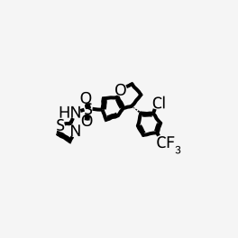 O=S(=O)(Nc1nccs1)c1ccc2c(c1)OCC[C@@H]2c1ccc(C(F)(F)F)cc1Cl